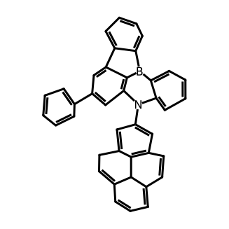 C1=CC2=CCc3cc(N4c5ccccc5B5c6ccccc6-c6cc(-c7ccccc7)cc4c65)cc4c3C2C(=C1)C=C4